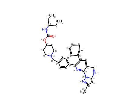 CCC(CC)NC(=O)OC1CCN(Cc2ccc(-c3nc4c(cnc5cc(C)nn54)cc3-c3ccccc3)cc2)CC1